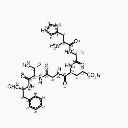 C[C@@H](NC(=O)[C@@H](N)Cc1c[nH]cn1)C(=O)N[C@@H](CCC(=O)O)C(=O)NCC(=O)N[C@H](C(=O)N[C@H]([C]=O)Cc1ccccc1)[C@@H](C)O